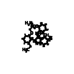 CCc1cccc(OCC(N)=O)c1-c1nc2ccc(F)cn2c1Nc1c(C)cccc1C